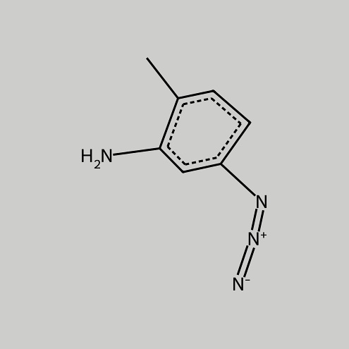 Cc1ccc(N=[N+]=[N-])cc1N